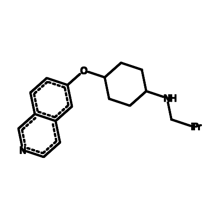 CC(C)CNC1CCC(Oc2ccc3cnccc3c2)CC1